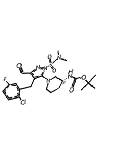 CN(C)S(=O)(=O)n1nc(C=O)c(Cc2cc(F)ccc2Cl)c1N1CCC[C@@H](NC(=O)OC(C)(C)C)C1